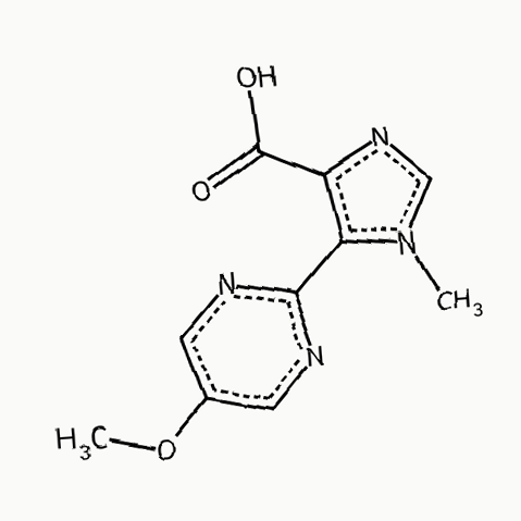 COc1cnc(-c2c(C(=O)O)ncn2C)nc1